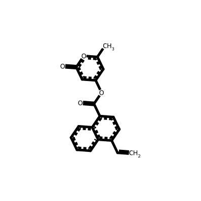 C=Cc1ccc(C(=O)Oc2cc(C)oc(=O)c2)c2ccccc12